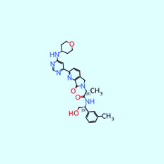 Cc1cccc([C@@H](CO)NC(=O)[C@@H](C)N2Cc3ccc(-c4cc(NC5CCOCC5)ncn4)nc3C2=O)c1